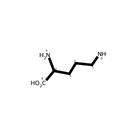 [NH]CCCC(N)C(=O)O